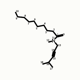 C=C(CCCCCCCCC)N(C)CC#CC(C)C